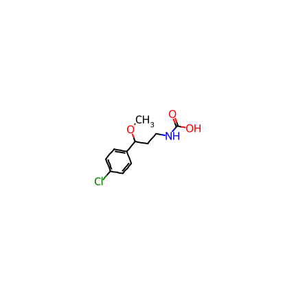 COC(CCNC(=O)O)c1ccc(Cl)cc1